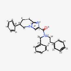 O=C(c1cn2c(n1)CCC(c1ccccc1)C2)N(CCc1ccccc1)Cc1ccccc1